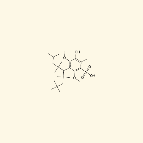 COc1c(O)c(C)c(S(=O)(=O)O)c(OC)c1C(C(C)(C)CC(C)C)C(C)(C)CC(C)(C)C